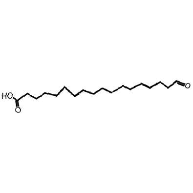 O=CCCCCCCCCCCCCCCCCC(=O)O